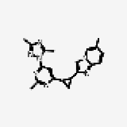 Cc1ccc2nc(C3CC3c3cc(-n4nc(C)nc4C)nc(C)n3)cn2c1